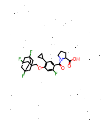 O=C(O)C1CCCN1C(=O)c1cc(C2CC2)c(OCC23CC4(F)CC(F)(CC(F)(C4)C2)C3)cc1F